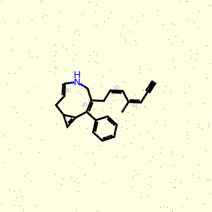 C#C/C=C(C)\C=C/C/C1=C(\c2ccccc2)C2=CC2C/C=C/NC1